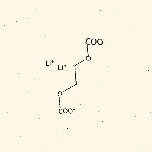 O=C([O-])OCCOC(=O)[O-].[Li+].[Li+]